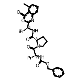 Cc1cccc2nc([C@@H](NC(=O)[C@@H]3CCCN3C(=O)[C@@H](NC(=O)OCc3ccccc3)C(C)C)C(C)C)oc(=O)c12